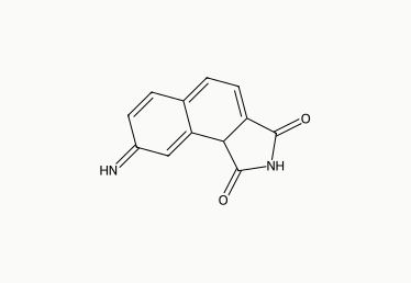 N=C1C=CC2=CC=C3C(=O)NC(=O)C3C2=C1